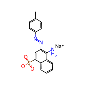 Cc1ccc(N=Nc2cc(S(=O)(=O)[O-])c3ccccc3c2N)cc1.[Na+]